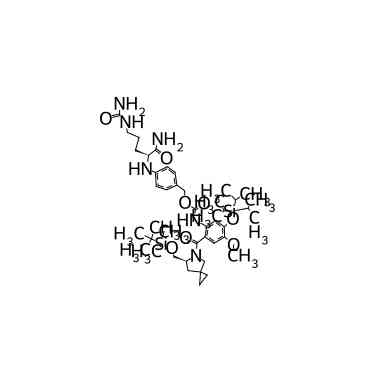 COc1cc(C(=O)N2CC3(CC3)C[C@H]2CO[Si](C)(C)C(C)(C)C)c(NC(=O)OCc2ccc(N[C@@H](CCCNC(N)=O)C(N)=O)cc2)cc1O[Si](C(C)C)(C(C)C)C(C)C